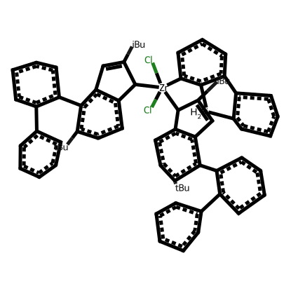 CCC(C)C1=Cc2c(ccc(C(C)(C)C)c2-c2ccccc2-c2ccccc2)[CH]1[Zr]([Cl])([Cl])([c]1cccc2c1[SiH2]c1ccccc1-2)[CH]1C(C(C)CC)=Cc2c1ccc(C(C)(C)C)c2-c1ccccc1-c1ccccc1